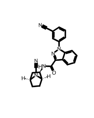 N#Cc1cccc(-n2nc(C(=O)N[C@@H]3C[C@@H]4CC[C@H]3N4C#N)c3ccccc32)c1